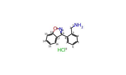 Cl.NCc1ccccc1-c1noc2ccccc12